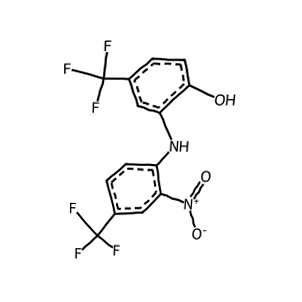 O=[N+]([O-])c1cc(C(F)(F)F)ccc1Nc1cc(C(F)(F)F)ccc1O